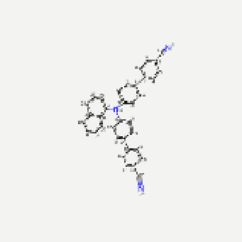 N#Cc1ccc(-c2ccc(N(c3ccc(-c4ccc(C#N)cc4)cc3)c3cccc4ccccc34)cc2)cc1